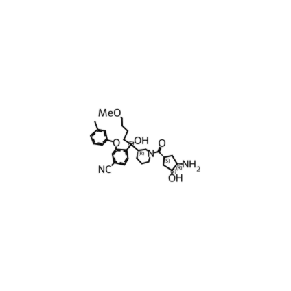 COCCCC[C@@](O)(c1ccc(C#N)cc1Oc1cccc(C)c1)[C@@H]1CCCN(C(=O)[C@H]2C[C@@H](N)[C@@H](O)C2)C1